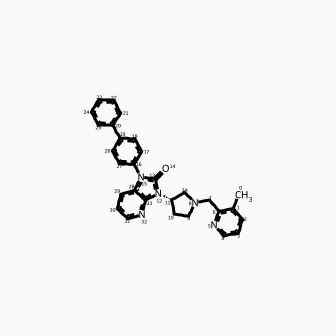 Cc1cccnc1CN1CC[C@H](n2c(=O)n(-c3ccc(-c4ccccc4)cc3)c3cccnc32)C1